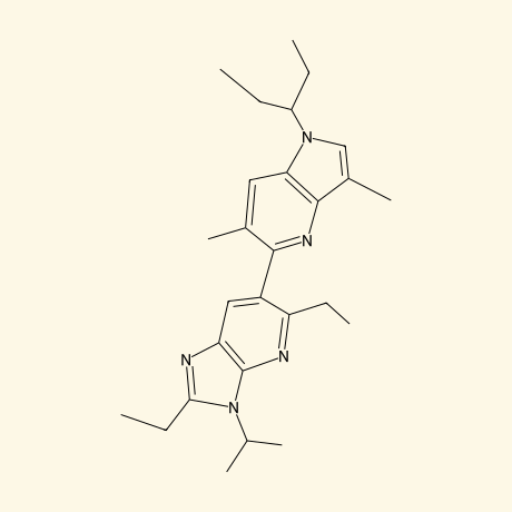 CCc1nc2c(cc1-c1nc3c(C)cn(C(CC)CC)c3cc1C)nc(CC)n2C(C)C